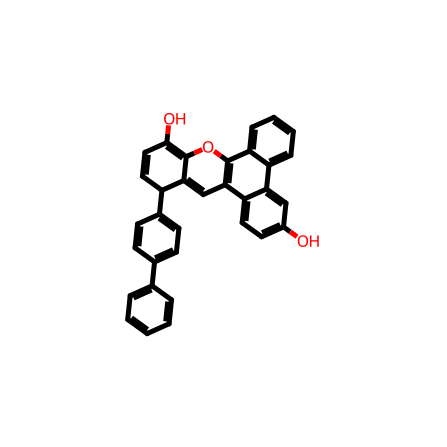 OC1=C2Oc3c(c4ccc(O)cc4c4ccccc34)C=C2C(c2ccc(-c3ccccc3)cc2)C=C1